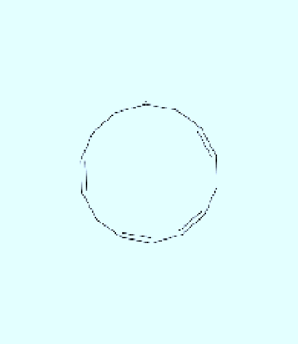 [CH]1CC=CCC=CC=CCC=CCC1